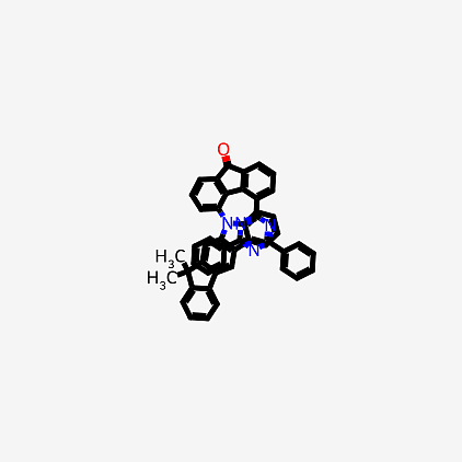 CC1(C)c2ccccc2-c2cc3c4ccccc4n(-c4cccc5c4-c4c(cccc4-c4nc(-c6ccccc6)nc(-c6ccccc6)n4)C5=O)c3cc21